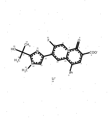 CC(C)c1cc(C(=O)[O-])c(=O)n2cc(F)c(-c3cn(C)c(C(C)(C)O)n3)cc12.[Li+]